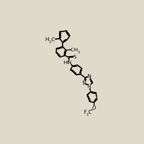 Cc1ccccc1-c1cccc(C(=S)Nc2ccc(-c3ncn(-c4ccc(OC(F)(F)F)cc4)n3)cc2)c1C